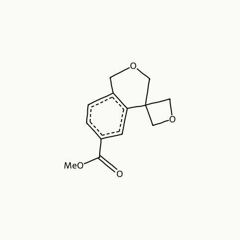 COC(=O)c1ccc2c(c1)C1(COC2)COC1